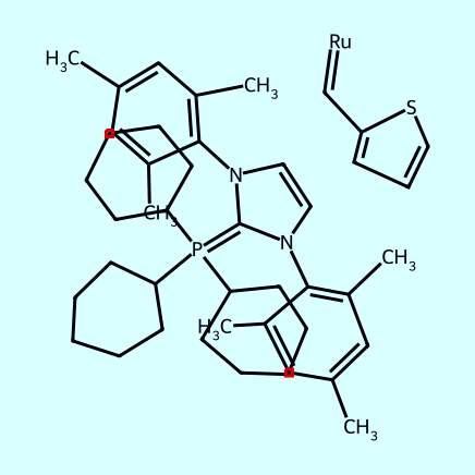 Cc1cc(C)c(-n2ccn(-c3c(C)cc(C)cc3C)c2=P(C2CCCCC2)(C2CCCCC2)C2CCCCC2)c(C)c1.[Ru]=[CH]c1cccs1